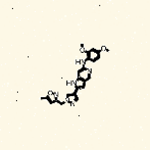 COc1ccc(Nc2cc3[nH]c(-c4cnn(Cc5cc(C)on5)c4)cc3cn2)c(OC)c1